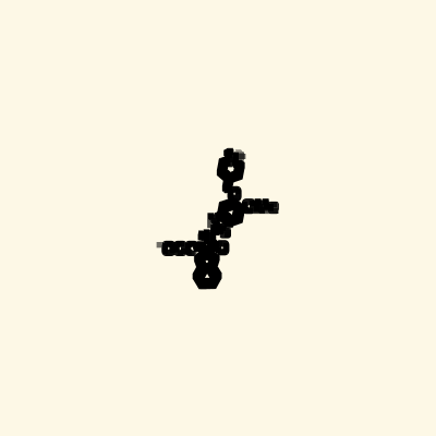 COc1cc2sc(N(C)C(=O)C3(CC(=O)[O-])Cc4ccccc4C3)nc2cc1OCC1CC[N+](C)(C)CC1